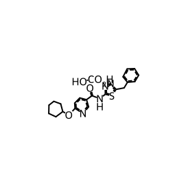 O=C(Nc1nnc(Cc2ccccc2)s1)c1ccc(OC2CCCCC2)nc1.O=C(O)O